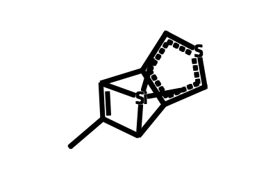 CC1=C2c3cscc3C1[Si]2(C)C